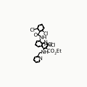 CCOC(=O)c1cnc2c(NC(=O)c3c(Cl)cccc3Cl)cccc2c1NCc1ccccn1.Cl.Cl